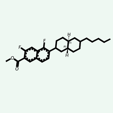 CCCCCC1CC[C@@H]2CC(c3ccc4cc(C(=O)OC)c(F)cc4c3F)CC[C@H]2C1